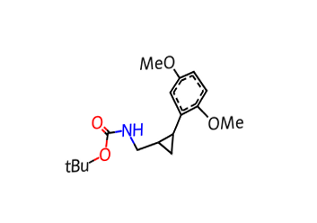 COc1ccc(OC)c(C2CC2CNC(=O)OC(C)(C)C)c1